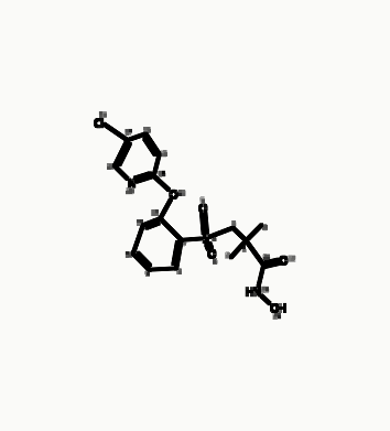 CC(C)(CS(=O)(=O)c1ccccc1Oc1ccc(Cl)cn1)C(=O)NO